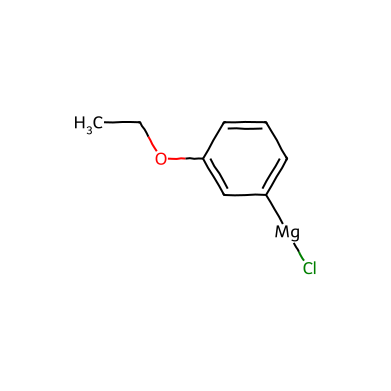 CCOc1ccc[c]([Mg][Cl])c1